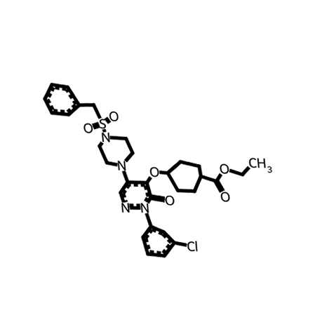 CCOC(=O)C1CCC(Oc2c(N3CCN(S(=O)(=O)Cc4ccccc4)CC3)cnn(-c3cccc(Cl)c3)c2=O)CC1